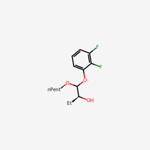 CCCCCOC(Oc1cccc(F)c1F)[C@@H](O)CC